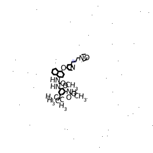 COC(=O)Nc1cc(C(C)(C)C)cc(NC(=O)Nc2ccc(Oc3ccnc(/C=C/CN4CCOCC4)c3)c3ccccc23)c1OC